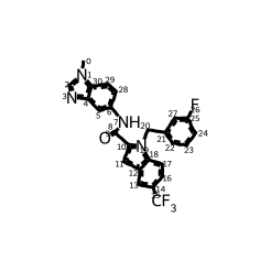 Cn1cnc2cc(NC(=O)c3cc4cc(C(F)(F)F)ccc4n3Cc3cccc(F)c3)ccc21